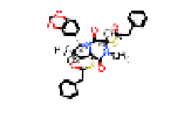 CN1C(=O)[C@@]2(SC(=O)Cc3ccccc3)C[C@](C)(C#N)[C@H](c3ccc4c(c3)OCO4)N2C(=O)[C@]1(C)SC(=O)Cc1ccccc1